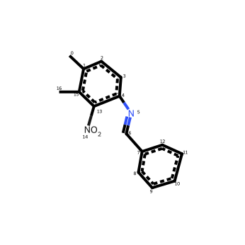 Cc1ccc(N=Cc2ccccc2)c([N+](=O)[O-])c1C